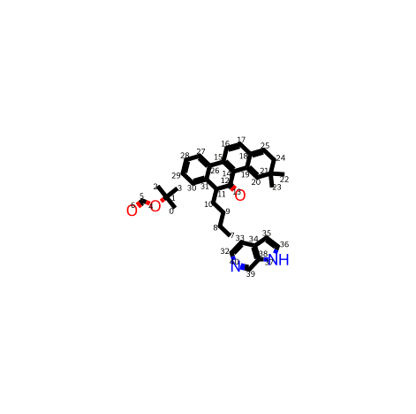 CC(C)(C)OC=O.CCCCC1C(=O)c2c(ccc3c2=CC(C)(C)CC=3)-c2ccccc21.c1cc2cc[nH]c2cn1